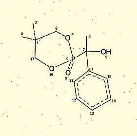 CC1(C)COP(=O)(C(C)(O)c2ccccc2)OC1